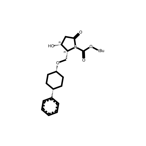 CC(C)(C)OC(=O)N1C(=O)C[C@@H](O)[C@H]1CO[C@H]1CC[C@@H](c2ccccc2)CC1